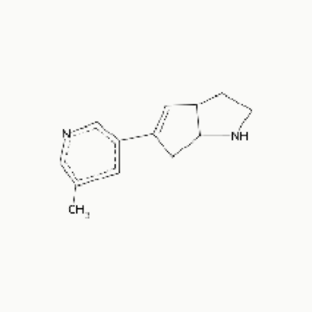 Cc1cncc(C2=CC3CCNC3C2)c1